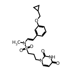 CN(C=Cc1cccc(OCC2CC2)c1)S(=O)(=O)CCCn1ccc(=O)[nH]c1=O